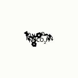 CN1CCN(CCOc2ccc(-c3nc4c(OC5(C)CC5)ncnc4n3Cc3ccccc3)c(C(=O)O)c2)CC1